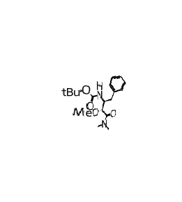 CO[C@@H](C(=O)N(C)C)[C@H](Cc1ccccc1)NC(=O)OC(C)(C)C